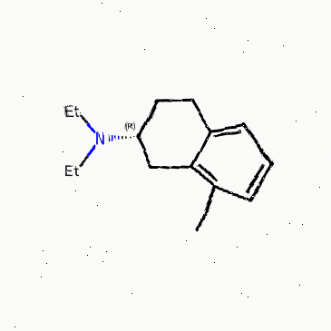 CCN(CC)[C@@H]1CCc2cccc(C)c2C1